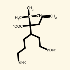 C=CCC(C(=O)[O-])(C(CCCCCCCCCCCC)CCCCCCCCCCCCC)[N+](C)(C)C